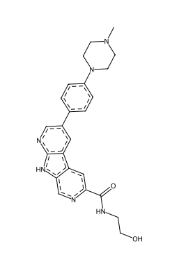 CN1CCN(c2ccc(-c3cnc4[nH]c5cnc(C(=O)NCCO)cc5c4c3)cc2)CC1